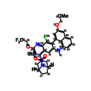 COCOc1cc(-c2c(N(C)C)cc3c(N4C[C@H]5CC[C@@H](C4)N5C(=O)OC(C)(C)C)nc(OCC(F)(F)F)nc3c2F)c2ccccc2c1